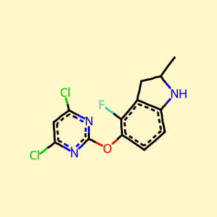 CC1Cc2c(ccc(Oc3nc(Cl)cc(Cl)n3)c2F)N1